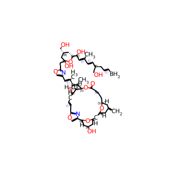 B/C=C/C[C@H](/C=C/C(C)=C/[C@@H](O)[C@H]1C[C@@H](CO)C[C@@](O)(Cc2nc(/C=C(\C)[C@@H]3O[C@@H]4C/C=C/c5nc(co5)[C@H]5C[C@H](O)C[C@@H](C[C@H]6CC(=C)C[C@H](C/C=C\C(=O)O[C@@H]([C@H]4C)[C@H]3C)O6)O5)co2)O1)CO